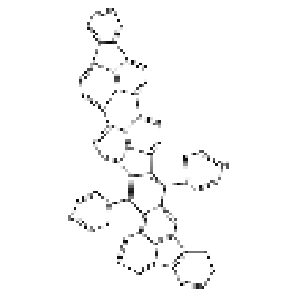 C1=Cc2c(c3cc4c(-c5ccncc5)c5c6ccc7c8ccc9c%10c(ccc(c%11ccc(c5c(-c5ccncc5)c4c4cccc2c34)c6c7%11)c%108)-c2ccccc2-9)CC1